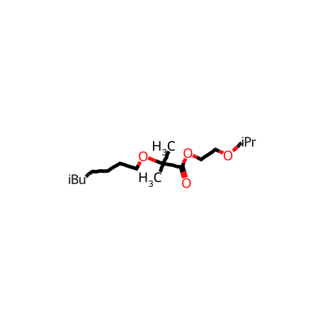 CCC(C)CCCCOC(C)(C)C(=O)OCCOC(C)C